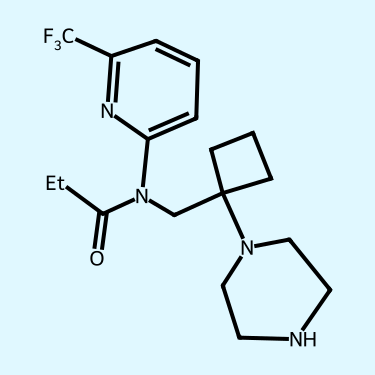 CCC(=O)N(CC1(N2CCNCC2)CCC1)c1cccc(C(F)(F)F)n1